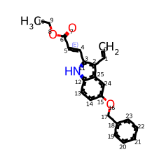 C=Cc1c(/C=C/C(=O)OCC)[nH]c2ccc(OCc3ccccc3)cc12